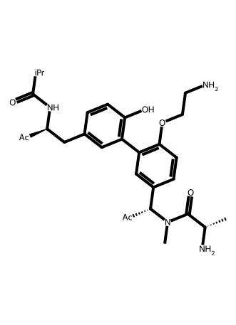 CC(=O)[C@H](Cc1ccc(O)c(-c2cc([C@@H](C(C)=O)N(C)C(=O)[C@H](C)N)ccc2OCCN)c1)NC(=O)C(C)C